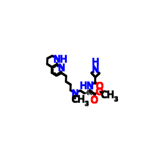 COC(=O)[C@H](CCN(C)CCCCc1ccc2c(n1)NCCC2)NC(=O)C1CNC1